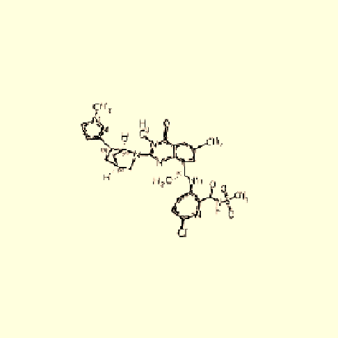 Cc1cc([C@@H](C)Nc2ccc(Cl)nc2C(=O)NS(C)(=O)=O)c2nc(N3C[C@H]4C[C@@H](c5ccn(C)n5)[C@@H]3C4)n(C)c(=O)c2c1